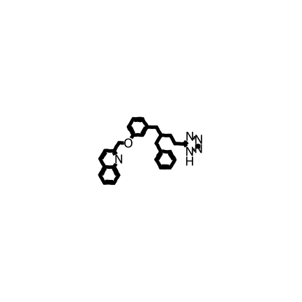 c1ccc(CC(CCc2nnn[nH]2)Cc2cccc(OCc3ccc4ccccc4n3)c2)cc1